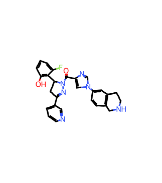 O=C(c1cn(-c2ccc3c(c2)CCNC3)cn1)N1N=C(c2cccnc2)CC1c1c(O)cccc1F